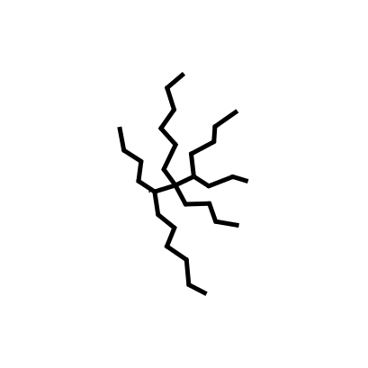 CCCCCC[C](CCCC)C(CCCC)(CCCCCC)C(CCC)CCCC